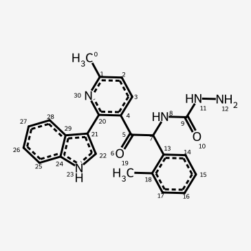 Cc1ccc(C(=O)C(NC(=O)NN)c2ccccc2C)c(-c2c[nH]c3ccccc23)n1